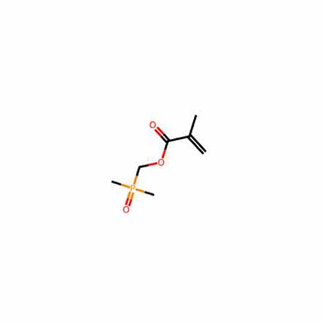 C=C(C)C(=O)OCP(C)(C)=O